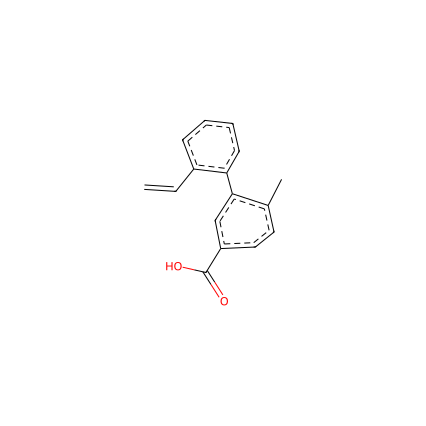 C=Cc1ccccc1-c1cc(C(=O)O)ccc1C